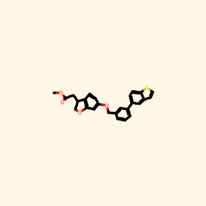 COC(=O)CC1COc2cc(OCc3cccc(-c4ccc5sccc5c4)c3)ccc21